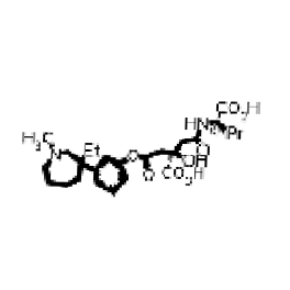 CCC1(c2cccc(OC(=O)C[C@](O)(CC(=O)N[C@H](C(=O)O)C(C)C)C(=O)O)c2)CCCCN(C)C1